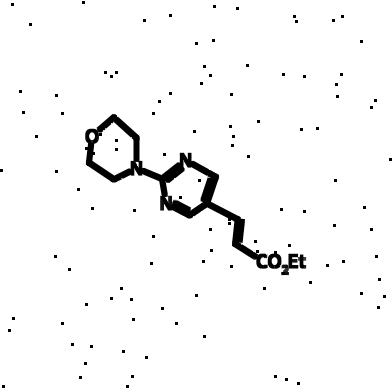 CCOC(=O)/C=C/c1cnc(N2CCOCC2)nc1